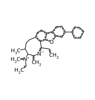 C=C/C1=N/C(=C)C([N+](=C)C=C)C(C)CCc2ccc3c(oc4cc(-c5ccccc5)ccc43)c21